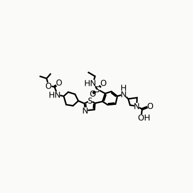 CCNS(=O)(=O)c1cc(NC2CN(C(=O)O)C2)ccc1-c1cnc(C2CCC(NC(=O)OC(C)C)CC2)s1